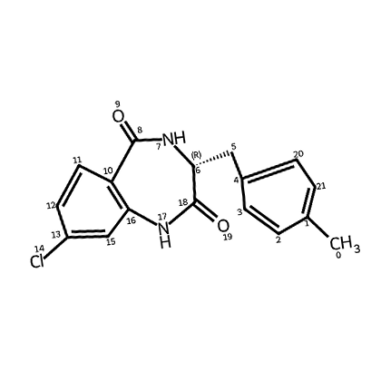 Cc1ccc(C[C@H]2NC(=O)c3ccc(Cl)cc3NC2=O)cc1